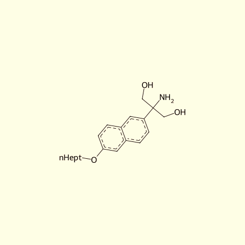 CCCCCCCOc1ccc2cc(C(N)(CO)CO)ccc2c1